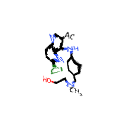 CC(=O)c1cnc2ccc(Cl)nc2c1NC1CCC(CN(C)CCO)CC1